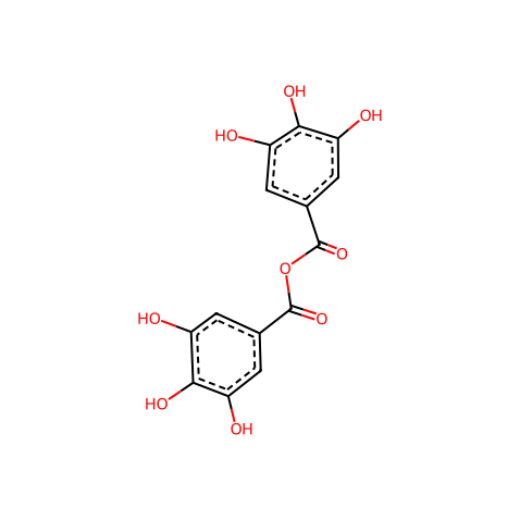 O=C(OC(=O)c1cc(O)c(O)c(O)c1)c1cc(O)c(O)c(O)c1